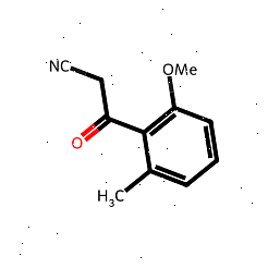 COc1cccc(C)c1C(=O)CC#N